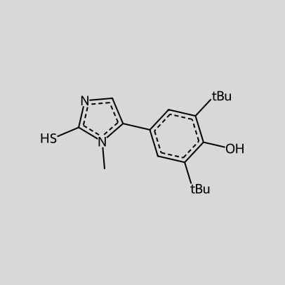 Cn1c(-c2cc(C(C)(C)C)c(O)c(C(C)(C)C)c2)cnc1S